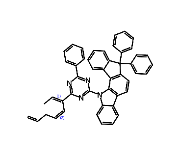 C=CC/C=C\C(=C/C)c1nc(-c2ccccc2)nc(-n2c3ccccc3c3ccc4c(c32)-c2ccccc2C4(c2ccccc2)c2ccccc2)n1